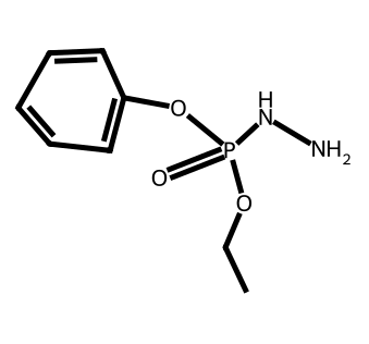 CCOP(=O)(NN)Oc1ccccc1